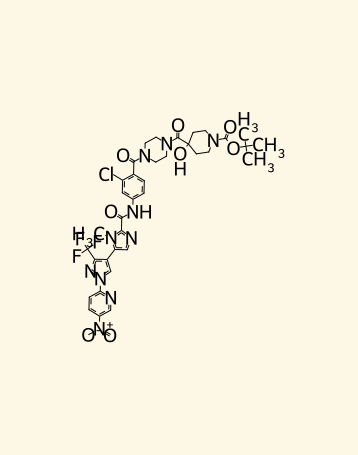 Cn1c(-c2cn(-c3ccc([N+](=O)[O-])cn3)nc2C(F)(F)F)cnc1C(=O)Nc1ccc(C(=O)N2CCN(C(=O)C3(O)CCN(C(=O)OC(C)(C)C)CC3)CC2)c(Cl)c1